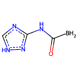 BC(=O)Nc1nc[nH]n1